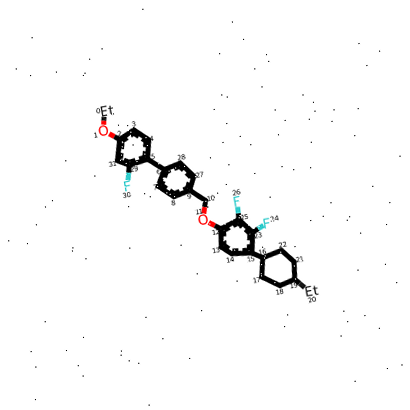 CCOc1ccc(-c2ccc(COc3ccc(C4CCC(CC)CC4)c(F)c3F)cc2)c(F)c1